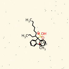 CCCCCCC(CCC)C(c1ccccc1)(c1ccccc1C(C)C)S(=O)(=O)O